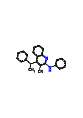 CC(c1ccccc1)c1c(C#N)c(Nc2ccccc2)nc2ccccc12